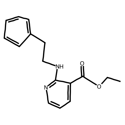 CCOC(=O)c1cccnc1NCCc1ccccc1